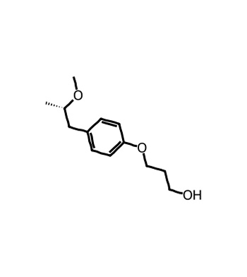 CO[C@@H](C)Cc1ccc(OCCCO)cc1